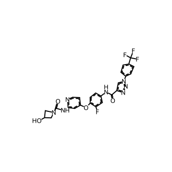 O=C(Nc1ccc(Oc2ccnc(NC(=O)N3CC(O)C3)c2)c(F)c1)c1cn(-c2ccc(C(F)(F)F)cc2)nn1